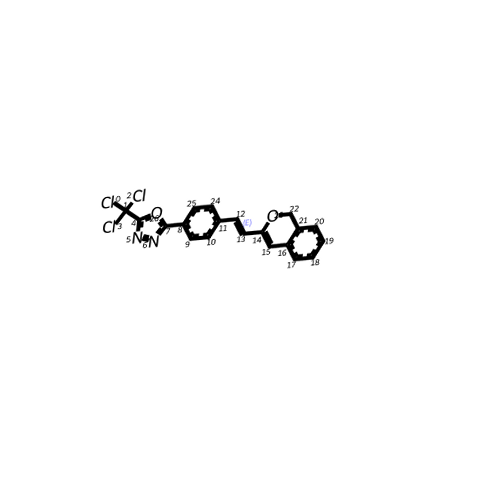 ClC(Cl)(Cl)c1nnc(-c2ccc(/C=C/C3=Cc4ccccc4CO3)cc2)o1